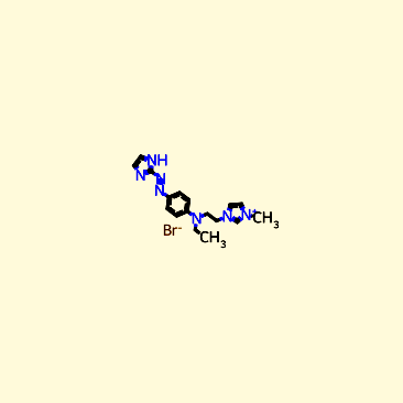 CCN(CCn1cc[n+](C)c1)c1ccc(N=Nc2ncc[nH]2)cc1.[Br-]